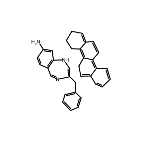 C1=c2ccc3c(c2CCC1)CC=c1ccccc1=3.Nc1ccc2c(c1)NC=C(Cc1ccccc1)N=C2